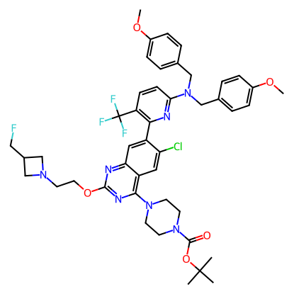 COc1ccc(CN(Cc2ccc(OC)cc2)c2ccc(C(F)(F)F)c(-c3cc4nc(OCCN5CC(CF)C5)nc(N5CCN(C(=O)OC(C)(C)C)CC5)c4cc3Cl)n2)cc1